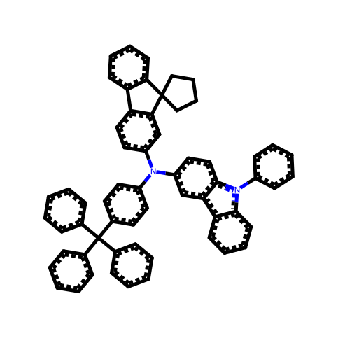 c1ccc(-n2c3ccccc3c3cc(N(c4ccc(C(c5ccccc5)(c5ccccc5)c5ccccc5)cc4)c4ccc5c(c4)C4(CCCC4)c4ccccc4-5)ccc32)cc1